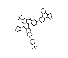 CC(C)(C)c1ccc(-n2nc3cc4c(cc3n2)N(c2ccccc2)c2cc(C(C)(C)C)cc3c2B4c2ccc(-c4ccc5c6ccccc6c6ccccc6c5c4)cc2O3)cc1